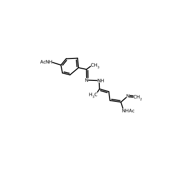 C=N/C(=C\C=C(/C)N/N=C(\C)c1ccc(NC(C)=O)cc1)NC(C)=O